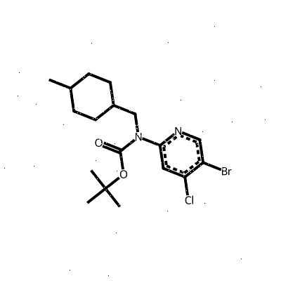 CC1CCC(CN(C(=O)OC(C)(C)C)c2cc(Cl)c(Br)cn2)CC1